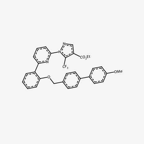 CCOC(=O)c1cnn(-c2cccc(-c3ccccc3OCc3ccc(-c4ccc(OC)cc4)cc3)n2)c1C(F)(F)F